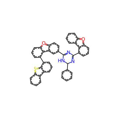 c1ccc(C2N=C(c3cccc4oc5ccccc5c34)N=C(c3ccc4oc5cccc(-c6cccc7c6sc6ccccc67)c5c4c3)N2)cc1